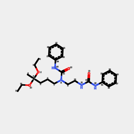 CCO[Si](C)(CCCN(CCNC(=O)Nc1ccccc1)C(=O)Nc1ccccc1)OCC